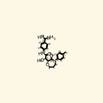 Cc1ccc(N2CCCO[C@H]([C@@H](O)C(=O)Nc3ccc(C(=N)N)cc3)C2=O)cc1